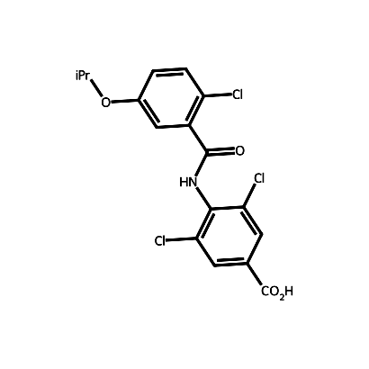 CC(C)Oc1ccc(Cl)c(C(=O)Nc2c(Cl)cc(C(=O)O)cc2Cl)c1